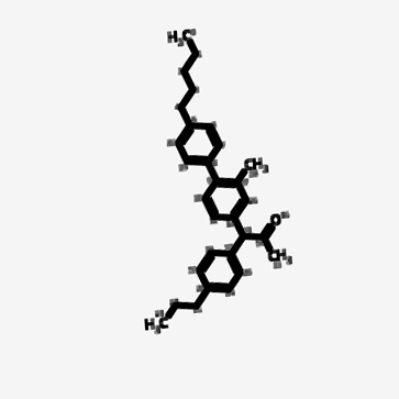 CCCCCc1ccc(-c2ccc(C(C(C)=O)c3ccc(CCC)cc3)cc2C)cc1